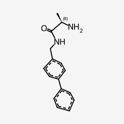 C[C@@H](N)C(=O)NCc1ccc(-c2ccccc2)cc1